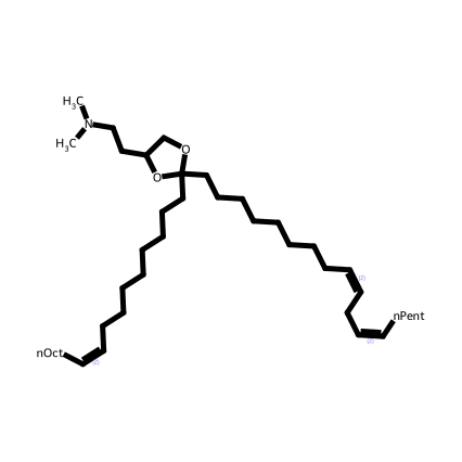 CCCCC/C=C\C/C=C\CCCCCCCCC1(CCCCCCCC/C=C\CCCCCCCC)OCC(CCN(C)C)O1